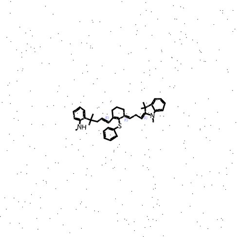 CNc1ccccc1C(C)(C)C/C=C/C1=C(Sc2ccccc2)C(=C/C/C=C2/N(C)c3ccccc3C2(C)C)/CCC1